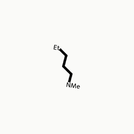 CCCCCNC